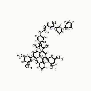 C=C(/C=C(\CC)c1cccc(-c2ccccc2)c1)OC(=O)Cc1ccc(-n2c(=O)c3cc(-c4cc(C(F)(F)F)cc(C(F)(F)F)c4)c4oc5ccccc5c5c(-c6cc(C(F)(F)F)cc(C(F)(F)F)c6)cc(c2=O)c3c45)cc1